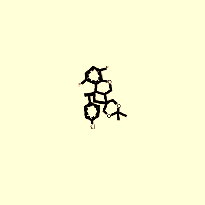 C=CCC1(C2COc3c(F)ccc(F)c3C2Cc2ccc(Cl)cc2)COC(C)(C)OC1